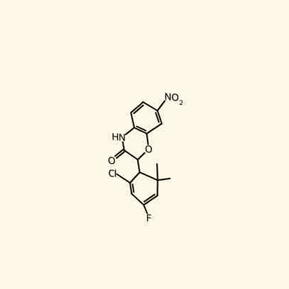 CC1(C)C=C(F)C=C(Cl)C1C1Oc2cc([N+](=O)[O-])ccc2NC1=O